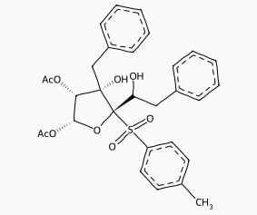 CC(=O)O[C@H]1O[C@@](C(O)Cc2ccccc2)(S(=O)(=O)c2ccc(C)cc2)[C@](O)(Cc2ccccc2)[C@H]1OC(C)=O